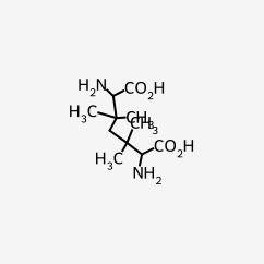 CC(C)(CC(C)(C)C(N)C(=O)O)C(N)C(=O)O